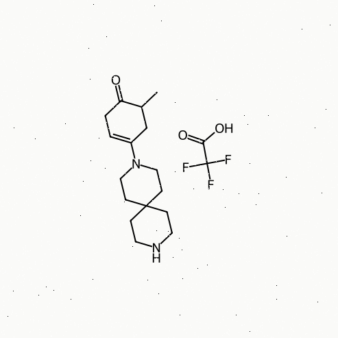 CC1CC(N2CCC3(CCNCC3)CC2)=CCC1=O.O=C(O)C(F)(F)F